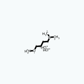 CN(C)CCCCON.Cl.Cl